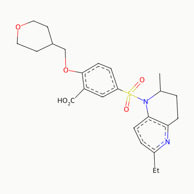 CCc1ccc2c(n1)CCC(C)N2S(=O)(=O)c1ccc(OCC2CCOCC2)c(C(=O)O)c1